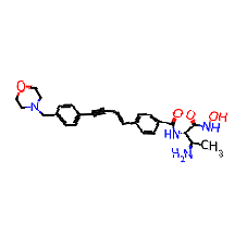 C[C@@H](N)[C@H](NC(=O)c1ccc(C=CC#Cc2ccc(CN3CCOCC3)cc2)cc1)C(=O)NO